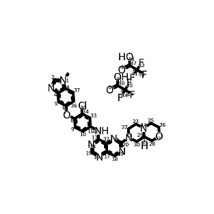 Cn1cnc2cc(Oc3ccc(Nc4ncnc5cnc(N6CCN7CCOC[C@H]7C6)nc45)cc3Cl)ccc21.O=C(O)C(F)(F)F.O=C(O)C(F)(F)F